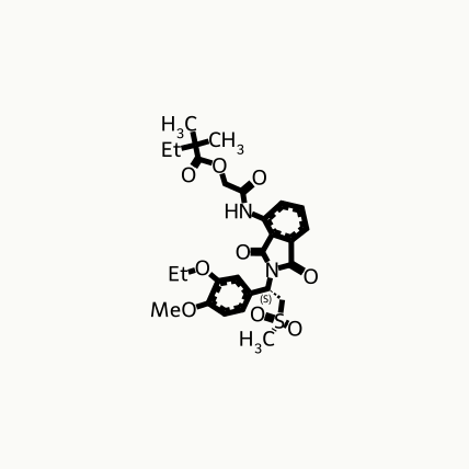 CCOc1cc([C@@H](CS(C)(=O)=O)N2C(=O)c3cccc(NC(=O)COC(=O)C(C)(C)CC)c3C2=O)ccc1OC